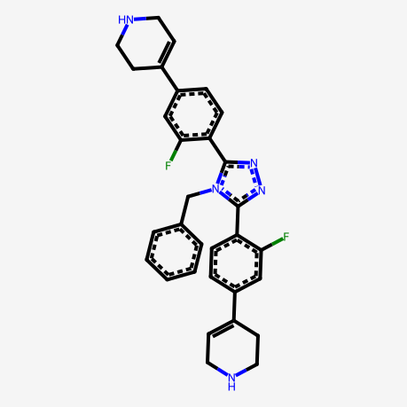 Fc1cc(C2=CCNCC2)ccc1-c1nnc(-c2ccc(C3=CCNCC3)cc2F)n1Cc1ccccc1